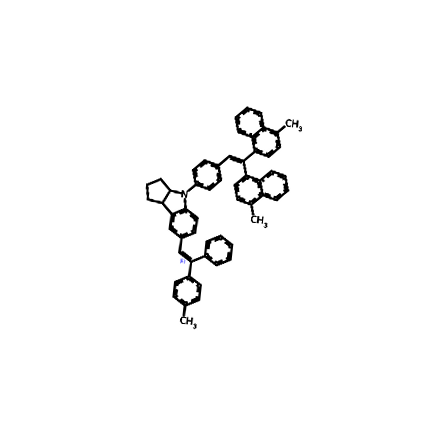 Cc1ccc(/C(=C/c2ccc3c(c2)C2CCCC2N3c2ccc(C=C(c3ccc(C)c4ccccc34)c3ccc(C)c4ccccc34)cc2)c2ccccc2)cc1